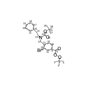 CC(C)(C)OOC(=O)c1ccc(CN(CCc2ccccc2)C(=O)OC(C)(C)C)c(Br)c1